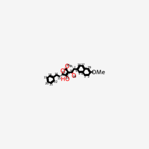 COc1ccc2cc([C@@H](C)C(=O)C3=C(O)[C@H](CCc4ccccc4)OC3=O)ccc2c1